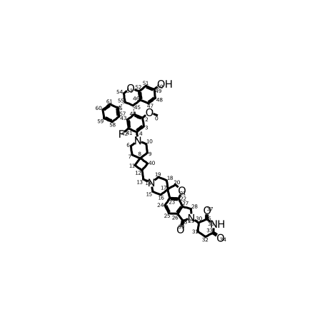 COc1cc(N2CCC3(CC2)CC(CN2CCC4(CC2)COc2c4ccc4c2CN(C2CCC(=O)NC2=O)C4=O)C3)c(F)cc1[C@H]1c2ccc(O)cc2OC[C@H]1c1ccccc1